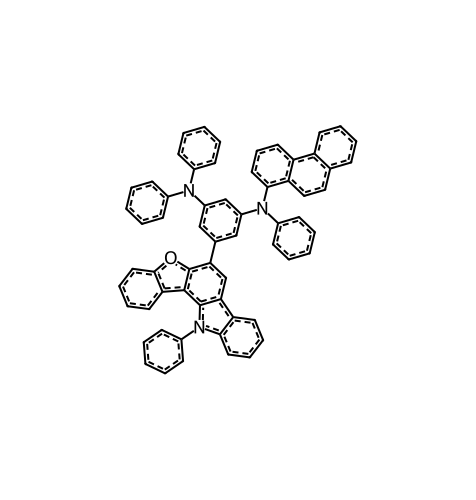 c1ccc(N(c2ccccc2)c2cc(-c3cc4c5ccccc5n(-c5ccccc5)c4c4c3oc3ccccc34)cc(N(c3ccccc3)c3cccc4c3ccc3ccccc34)c2)cc1